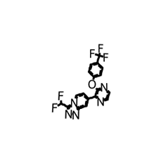 FC(F)c1nnc2cc(-c3nccnc3Oc3ccc(C(F)(F)F)cc3)ccn12